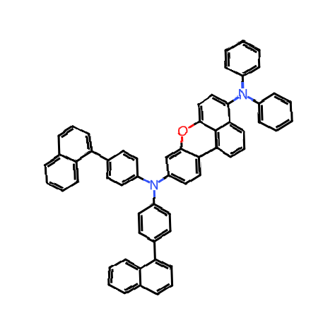 c1ccc(N(c2ccccc2)c2ccc3c4c(cccc24)-c2ccc(N(c4ccc(-c5cccc6ccccc56)cc4)c4ccc(-c5cccc6ccccc56)cc4)cc2O3)cc1